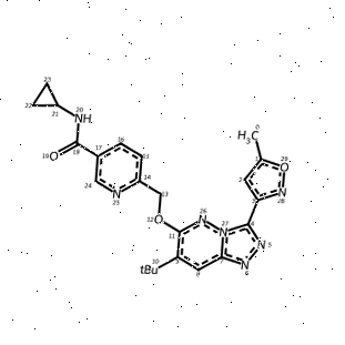 Cc1cc(-c2nnc3cc(C(C)(C)C)c(OCc4ccc(C(=O)NC5CC5)cn4)nn23)no1